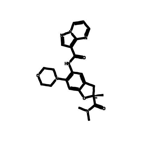 CN(C)C(=O)[C@@]1(C)Cc2cc(NC(=O)c3cnn4cccnc34)c(N3CCOCC3)cc2O1